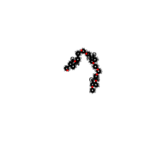 O=c1c2ccc(-c3ccccc3)c3cccc(c32)c2nc3cc(-c4cccc(-c5ccc(-c6ccc7c8c6cccc8c(=O)n6c8ccc(-c9cccc(-c%10cccc(-c%11ccc%12nc%13c%14cccc%15c(-c%16ccccc%16)ccc(c(=O)n%13c%12c%11)c%15%14)c%10)c9)cc8nc76)cc5)c4)ccc3n12